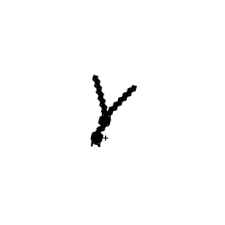 CCCCCCCCCCCCN(CCCCCCCCCCCC)c1ccc(/C=C/c2cc[n+](C)cc2)cc1